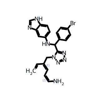 C=C/C(=C\C=C/N)Cn1nnnc1C(Nc1ccc2[nH]cnc2c1)c1ccc(Br)cc1